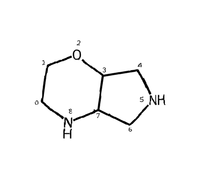 C1COC2CNC[C]2N1